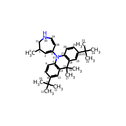 CC1C=C(N2c3ccc(C(C)(C)C)cc3C(C)(C)c3cc(C(C)(C)C)ccc32)C=CNC1